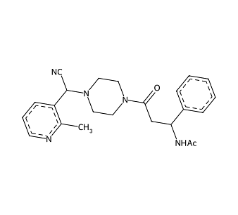 CC(=O)NC(CC(=O)N1CCN(C(C#N)c2cccnc2C)CC1)c1ccccc1